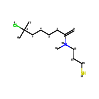 C=C(CCCCC(C)(C)Cl)N(C)CCCS